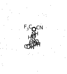 CO[C@@H]1COCC[C@@H]1N(C)[C@@H]1C[C@H]2CCC[C@@]2(C(=O)N2C[C@@H]3C[C@H]2CN3c2cc(C#N)cc(C(F)(F)F)c2)C1